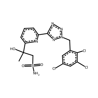 CC(O)(CS(N)(=O)=O)c1cccc(-c2nnn(Cc3cc(Cl)cc(Cl)c3Cl)n2)n1